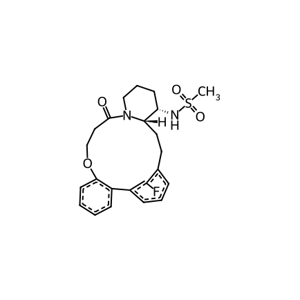 CS(=O)(=O)N[C@H]1CCCN2C(=O)CCOc3ccccc3-c3cccc(c3F)CC[C@@H]12